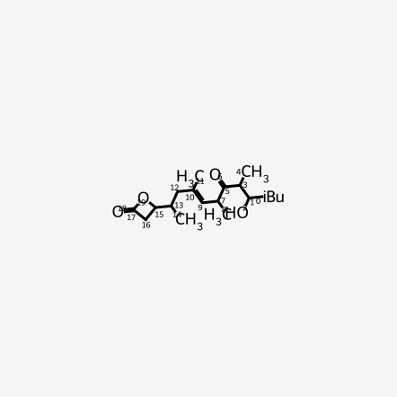 CCC(C)C(O)C(C)C(=O)C(C)C=C(C)CC(C)C1CC(=O)O1